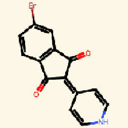 O=C1C(=C2C=CNC=C2)C(=O)c2cc(Br)ccc21